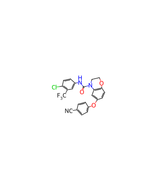 N#Cc1ccc(Oc2ccc3c(c2)N(C(=O)Nc2ccc(Cl)c(C(F)(F)F)c2)CCO3)cc1